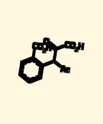 CC(=O)C(C(=O)C(=O)O)c1ccccc1C(=O)O